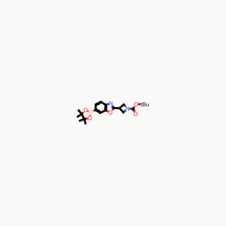 CC(C)(C)OC(=O)N1CC(c2nc3ccc(B4OC(C)(C)C(C)(C)O4)cc3o2)C1